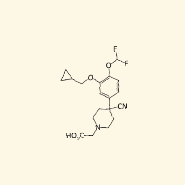 N#CC1(c2ccc(OC(F)F)c(OCC3CC3)c2)CCN(CC(=O)O)CC1